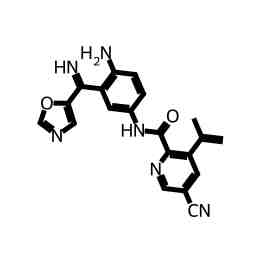 C=C(C)c1cc(C#N)cnc1C(=O)Nc1ccc(N)c(C(=N)c2cnco2)c1